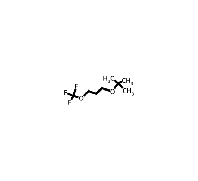 CC(C)(C)OCCCOC(F)(F)F